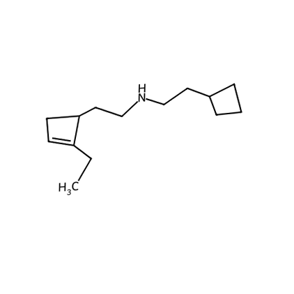 CCC1=CCC1CCNCCC1CCC1